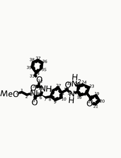 COCCNC(=O)[C@H](Cc1ccc(C(=O)Nc2cc(-c3ccco3)ccc2N)cc1)NC(=O)OCc1ccccc1